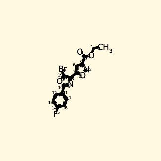 CCOC(=O)c1cc(-c2nc(-c3ccc(F)cc3)oc2Br)on1